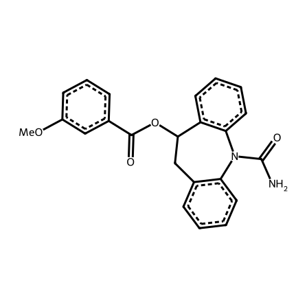 COc1cccc(C(=O)OC2Cc3ccccc3N(C(N)=O)c3ccccc32)c1